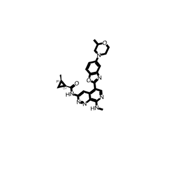 CNc1ncc(-c2nc3cc(N4CCOC(C)C4)ccc3o2)c2cc(NC(=O)[C@H]3C[C@H]3C)nnc12